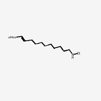 CCCCCCC=CCCCCCCCCCNCC